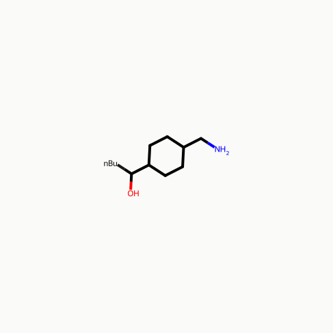 CCCCC(O)C1CCC(CN)CC1